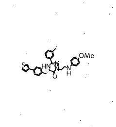 COc1ccc(NCCNC(=O)[C@H](Cc2ccc(-c3ccsc3)cc2)NC(=O)c2cccc(C)c2)cc1